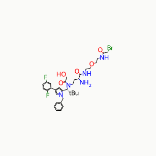 CC(C)(C)[C@H](c1cc(-c2cc(F)ccc2F)cn1Cc1ccccc1)N(CC[C@H](N)C(=O)NCCOCCNC(=O)CBr)C(=O)CO